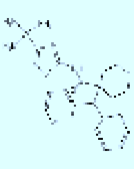 NC(N)(N)c1csc(NC(=O)C2(C(c3ccccc3)C3C=CC=CC3)CCCCC2)n1